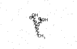 CCCCOCC(COCCC(=O)O)OCCC(=O)O